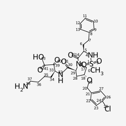 CS(=O)(=O)N[C@H](CCc1ccccc1)C(=O)N1C[C@H](OCc2ccc(Cl)cc2)C[C@H]1C(=O)N[C@@H](CCCCN)C(=O)C(=O)O